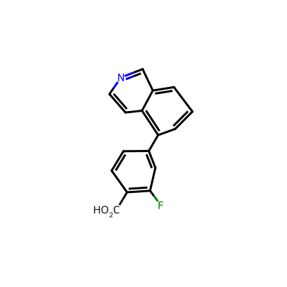 O=C(O)c1ccc(-c2cccc3cnccc23)cc1F